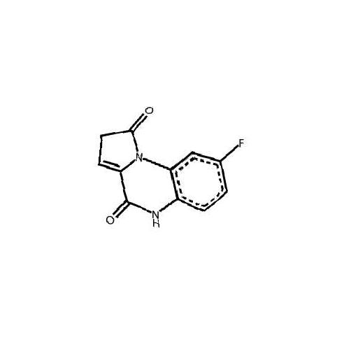 O=C1Nc2ccc(F)cc2N2C(=O)CC=C12